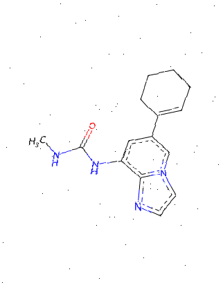 CNC(=O)Nc1cc(C2=CCCCC2)cn2ccnc12